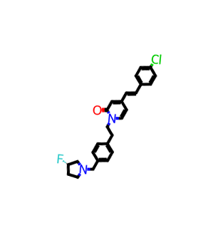 O=c1cc(/C=C/c2ccc(Cl)cc2)ccn1CCc1ccc(CN2CC[C@H](F)C2)cc1